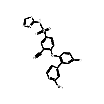 N#Cc1cc(S(=O)(=O)Nc2nncs2)ccc1Oc1ccc(Cl)cc1-c1ccnc(N)c1